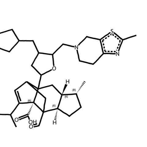 Cc1nc2c(s1)CN(CC1OC(C34C[C@@H]5[C@H](C)CC[C@H]5C5(C=O)CC3C=C(C(C)C)[C@@]45C(=O)O)CC1CC1CCCC1)CC2